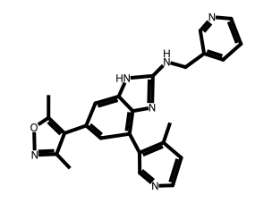 Cc1ccncc1-c1cc(-c2c(C)noc2C)cc2[nH]c(NCc3cccnc3)nc12